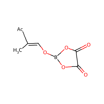 CC(=O)C(C)=COB1OC(=O)C(=O)O1